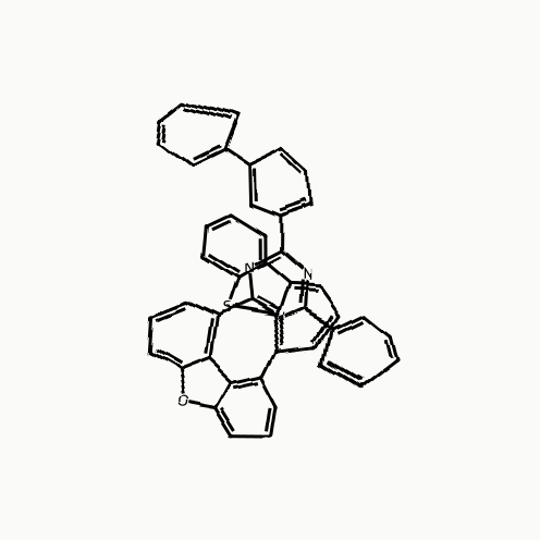 c1ccc(-c2cccc(-c3nc(-c4ccccc4)nc(-c4cccc5oc6cccc(-c7cccc8c7sc7ccccc78)c6c45)n3)c2)cc1